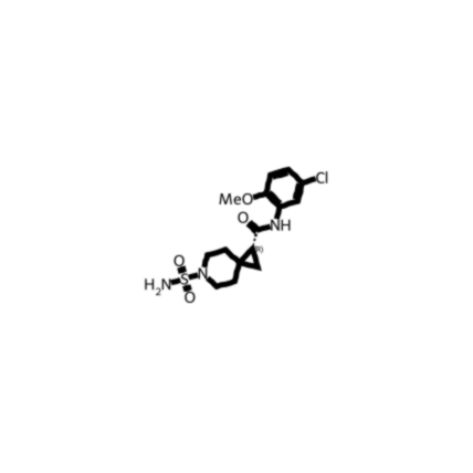 COc1ccc(Cl)cc1NC(=O)[C@@H]1CC12CCN(S(N)(=O)=O)CC2